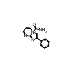 NC(=O)[N+]12C=C[C]=NC1=NC(c1ccccc1)=C2